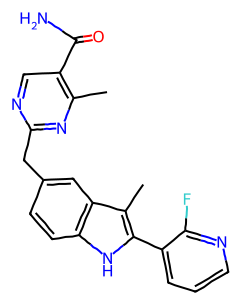 Cc1nc(Cc2ccc3[nH]c(-c4cccnc4F)c(C)c3c2)ncc1C(N)=O